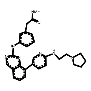 CNC(=O)Cc1cccc(Nc2ncc3cccc(-c4ccc(NCCN5CCCC5)nc4)c3n2)c1